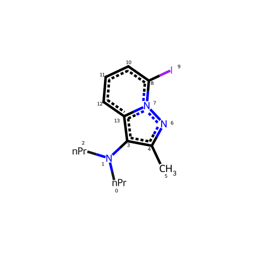 CCCN(CCC)c1c(C)nn2c(I)cccc12